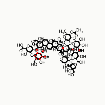 CC(=O)O[C@@H]1[C@H](O[C@@H]2O[C@@H](C)[C@H](O)[C@@H](O)[C@H]2O)[C@@H](O[C@@H]2O[C@@H](C)[C@H](O[C@@H]3OC[C@@H](O)[C@H](O[C@@H]4OC[C@](O)(CO)[C@H]4O)[C@H]3O)[C@@H](O[C@@H]3O[C@H](CO)[C@@H](O)[C@H](O)[C@H]3O)[C@H]2O)[C@H](OC(=O)[C@@]23CCC4C(=CC[C@@H]5[C@@]6(C)CC[C@H](O[C@@H]7O[C@H](C(=O)O)[C@@H](O)[C@H](O[C@@H]8OC[C@@H](O)[C@H](O)[C@H]8O)[C@H]7O[C@@H]7O[C@H](CO)[C@H](O)[C@H](O)[C@H]7O)[C@@](C)(C=O)[C@@H]6CC[C@@]45C)[C@@H]2CC(C)(C)CC3)O[C@@H]1C